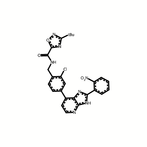 CC(C)(C)c1noc(C(=O)NCc2ccc(-c3ccnc4[nH]c(-c5ccccc5[N+](=O)[O-])nc34)cc2Cl)n1